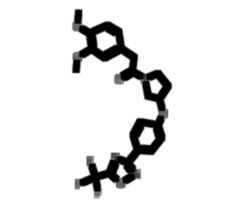 COc1ccc(CC(=O)N2CCC(Oc3ccc(-c4noc(C(F)(F)F)n4)cc3)C2)cc1OC